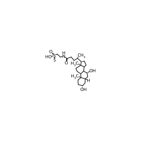 C[C@H](CCC(=O)NCCS(=O)(O)=S)[C@H]1CCC2C3C(CC[C@@]21C)[C@@]1(C)CC[C@@H](O)C[C@H]1C[C@@H]3O